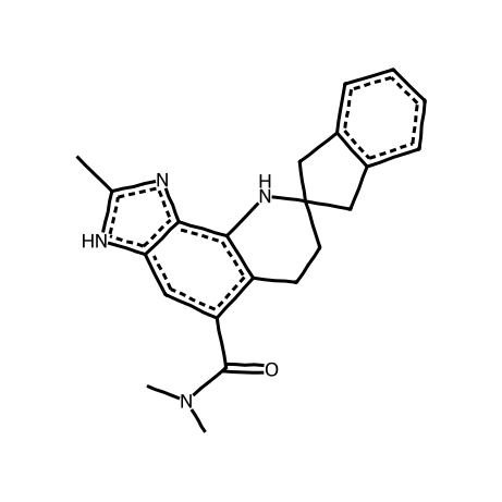 Cc1nc2c3c(c(C(=O)N(C)C)cc2[nH]1)CCC1(Cc2ccccc2C1)N3